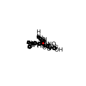 CC(C)Oc1ccccc1[C@@H]1CCCN1C1CC2(CCN(c3ccc(C(=O)NS(=O)(=O)c4cc5c(c([N+](=O)[O-])c4)N[C@H](C4CCC(C)(O)CC4)CO5)c(N4c5cc6cc[nH]c6nc5O[C@@H]5COC[C@H]54)c3)CC2)C1